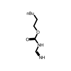 CCCCCCOC(=O)NC=N